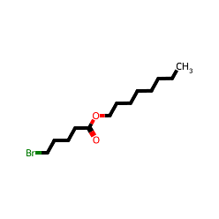 CCCCCCCCOC(=O)CCCCBr